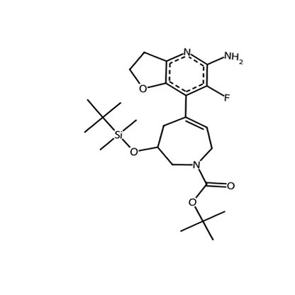 CC(C)(C)OC(=O)N1CC=C(c2c(F)c(N)nc3c2OCC3)CC(O[Si](C)(C)C(C)(C)C)C1